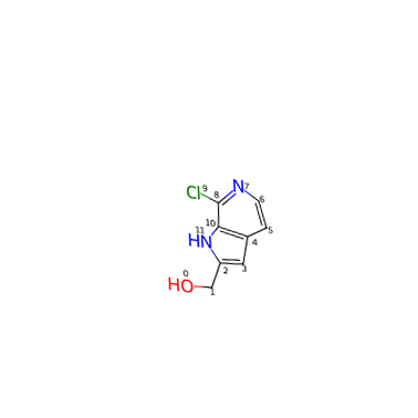 OCc1cc2ccnc(Cl)c2[nH]1